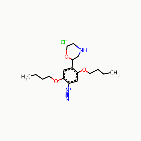 CCCCOc1cc(C2CNCCO2)c(OCCCC)cc1[N+]#N.[Cl-]